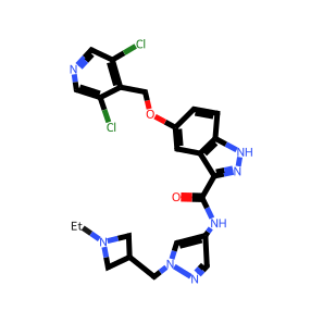 CCN1CC(Cn2cc(NC(=O)c3n[nH]c4ccc(OCc5c(Cl)cncc5Cl)cc34)cn2)C1